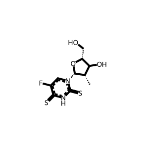 C[C@H]1C(O)[C@@H](CO)O[C@H]1n1cc(F)c(=S)[nH]c1=S